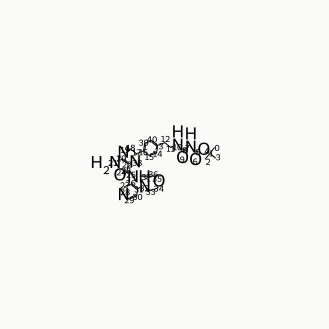 CC(C)(C)OC(=O)NC(=O)NCCc1ccc(-c2cnc(N)c(C(=O)Nc3cnccc3N3CCOCC3)n2)cc1